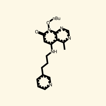 CCCCOn1c(=O)cc(NCCCc2cccnc2)c2c(C)ncnc21